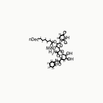 CCCCCCCCCCCCCCCC(=O)O[C@@H]1[C@H](OC)[C@@H]([C@@H](O[C@H]2OC(C(=O)Nc3ccccc3)=C[C@H](O)[C@@H]2O)C(N)=O)O[C@H]1n1ccc(=O)[nH]c1=O